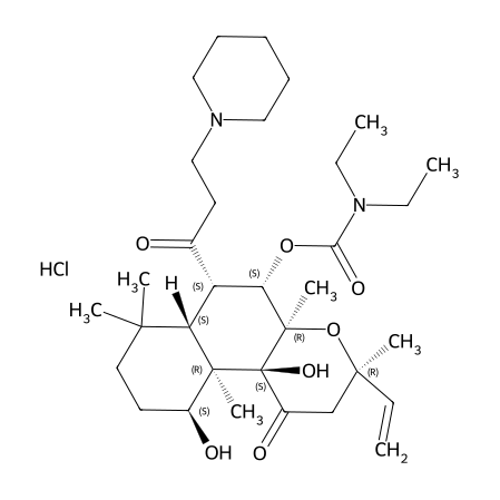 C=C[C@@]1(C)CC(=O)[C@]2(O)[C@@]3(C)[C@@H](O)CCC(C)(C)[C@@H]3[C@H](C(=O)CCN3CCCCC3)[C@H](OC(=O)N(CC)CC)[C@@]2(C)O1.Cl